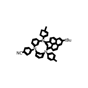 CC1=CC=C(N2c3cccc(c3)N(c3ccc(C#N)cc3)c3cccc(c3)N(c3ccc(C)cc3)c3cc2c2ccc4cc(C(C)(C)C)cc5ccc3c2c45)CC1